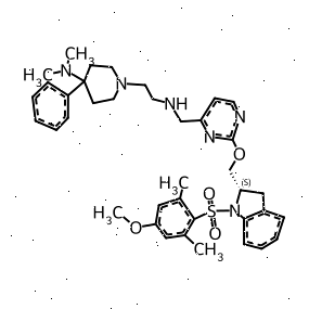 COc1cc(C)c(S(=O)(=O)N2c3ccccc3C[C@H]2COc2nccc(CNCCN3CCC(c4ccccc4)(N(C)C)CC3)n2)c(C)c1